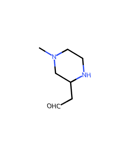 CN1CCNC(CC=O)C1